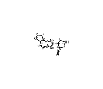 C#C[C@@H]1CNCN1c1nc2c3c(ccc2s1)OCC3